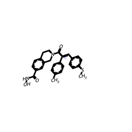 CSc1ccc(/C=C(/C(=O)N2CCc3ccc(C(=O)NO)cc3C2)c2ccc(C)cc2)cc1